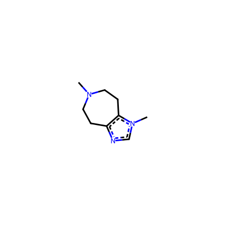 CN1CCc2ncn(C)c2CC1